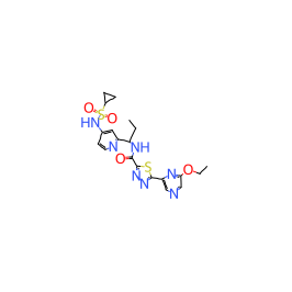 CCOc1cncc(-c2nnc(C(=O)NC(CC)c3cc(NS(=O)(=O)C4CC4)ccn3)s2)n1